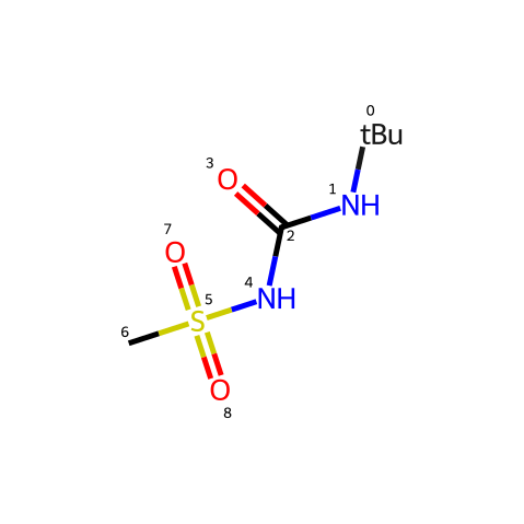 CC(C)(C)NC(=O)NS(C)(=O)=O